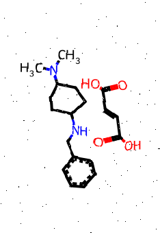 CN(C)C1CCC(NCc2ccccc2)CC1.O=C(O)C=CC(=O)O